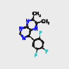 Cc1nc2ncnc(-c3cc(F)c(F)cc3F)c2nc1C